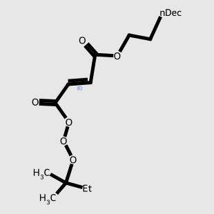 CCCCCCCCCCCCOC(=O)/C=C/C(=O)OOOC(C)(C)CC